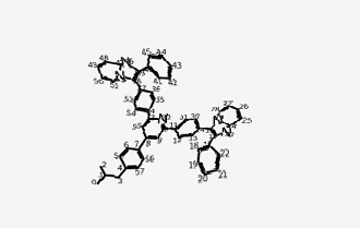 CC(C)Cc1ccc(-c2cc(-c3ccc(-c4c(-c5ccccc5)nc5ccccn45)cc3)nc(-c3ccc(-c4c(-c5ccccc5)nc5ccccn45)cc3)c2)cc1